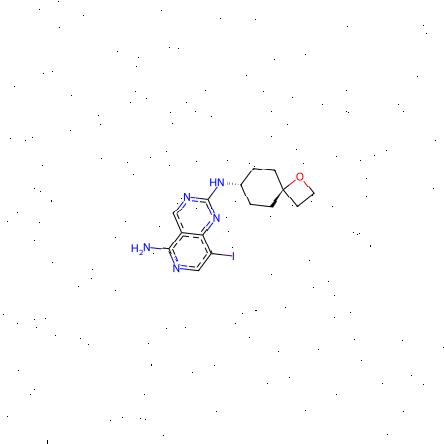 Nc1ncc(I)c2nc(N[C@H]3CC[C@@]4(CCO4)CC3)ncc12